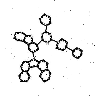 c1ccc(-c2ccc(-c3nc(-c4ccccc4)nc(-c4cc(-n5c6ccc7ccccc7c6c6c7ccccc7ccc65)cc5c4sc4ccccc45)n3)cc2)cc1